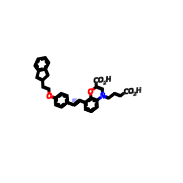 O=C(O)CCCN1CC(C(=O)O)Oc2c(/C=C/c3ccc(OCCC4Cc5ccccc5C4)cc3)cccc21